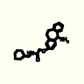 NC1c2ccccc2CCc2cc(OCC(=O)NCC3CCCCC3)ccc21